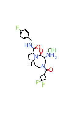 Cl.N[C@H]1CN(C(=O)C2CC(F)(F)C2)CC[C@H]2CC[C@@H](C(=O)NCc3ccc(F)cc3)N2C1=O